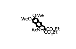 CCOC(=O)C(Cc1ccc2cc(OC)c(OC)cc2c1)(NC(C)=O)C(=O)OCC